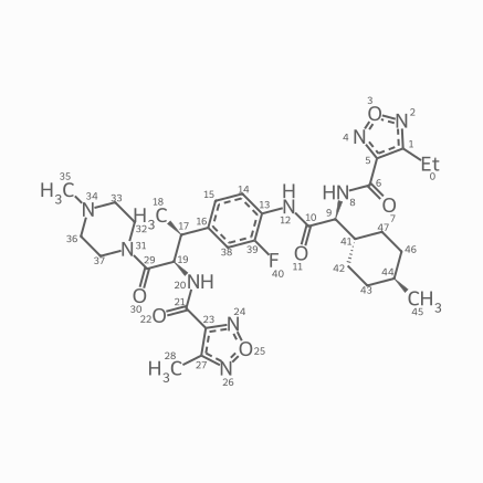 CCc1nonc1C(=O)N[C@H](C(=O)Nc1ccc([C@H](C)[C@@H](NC(=O)c2nonc2C)C(=O)N2CCN(C)CC2)cc1F)[C@H]1CC[C@H](C)CC1